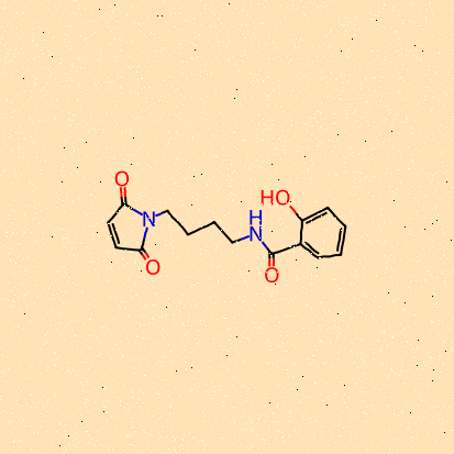 O=C(NCCCCN1C(=O)C=CC1=O)c1ccccc1O